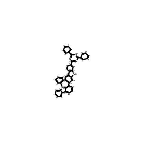 c1ccc(-c2nc(-c3ccccc3)nc(-c3ccc4c(c3)sc3cc(-c5cccc6c7ccccc7n(-c7ccccc7)c56)ccc34)n2)cc1